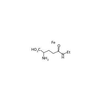 CCNC(=O)CCC(N)C(=O)O.[Fe]